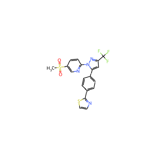 CS(=O)(=O)c1ccc(-n2nc(C(F)(F)F)cc2-c2ccc(-c3nccs3)cc2)nc1